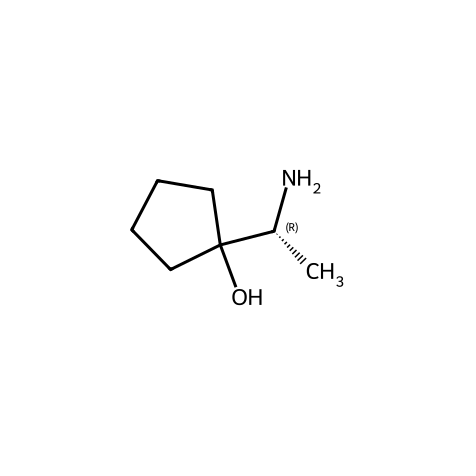 C[C@@H](N)C1(O)CCCC1